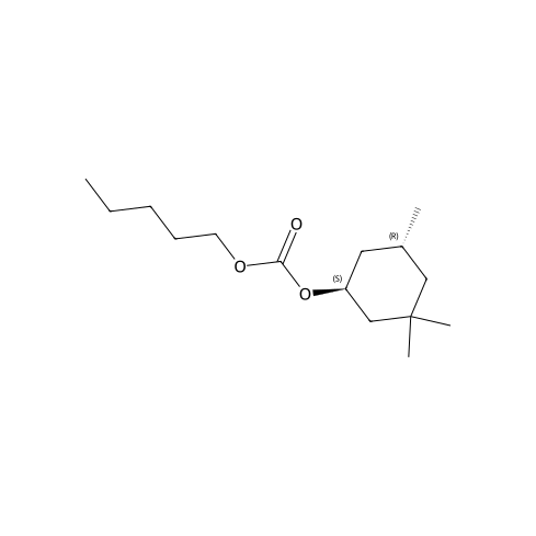 CCCCCOC(=O)O[C@H]1C[C@H](C)CC(C)(C)C1